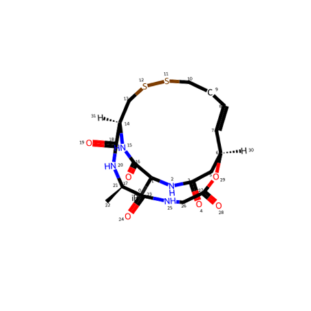 CC(C)C1NC(=O)C[C@H]2/C=C/CCSSC[C@@H](NC1=O)C(=O)N[C@H](C)C(=O)NCC(=O)O2